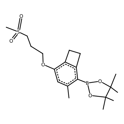 Cc1cc(OCCCS(C)(=O)=O)c2c(c1B1OC(C)(C)C(C)(C)O1)CC2